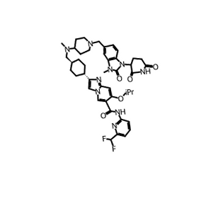 CC(C)Oc1cc2nc([C@H]3CC[C@H](CN(C)C4CCN(Cc5ccc6c(c5)n(C)c(=O)n6C5CCC(=O)NC5=O)CC4)CC3)cn2cc1C(=O)Nc1cccc(C(F)F)n1